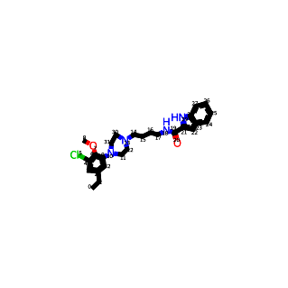 CCc1cc(Cl)c(OC)c(N2CCN(CCCCNC(=O)c3cc4ccccc4[nH]3)CC2)c1